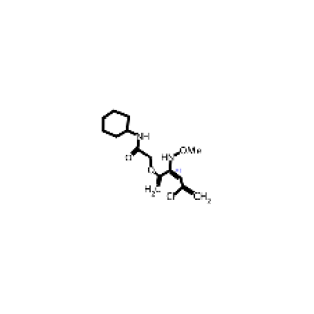 C=C(Cl)/C=C(/NOC)C(=C)OCC(=O)NC1CCCCC1